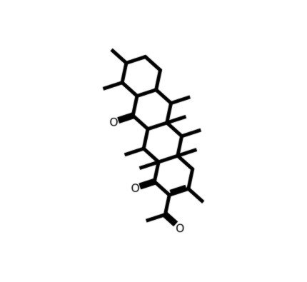 CC(=O)C1=C(C)CC2(C)C(C)C3(C)C(C)C4CCC(C)C(C)C4C(=O)C3C(C)C2(C)C1=O